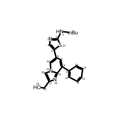 CCCCNc1ncc(-c2cc(-c3ccccc3)c3nc(CO)cn3c2)s1